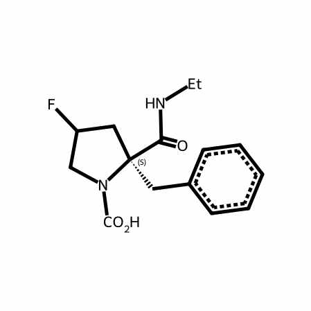 CCNC(=O)[C@]1(Cc2ccccc2)CC(F)CN1C(=O)O